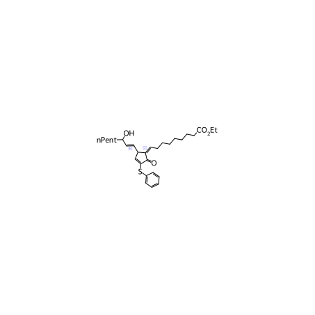 CCCCCC(O)/C=C/C1C=C(Sc2ccccc2)C(=O)/C1=C\CCCCCCCC(=O)OCC